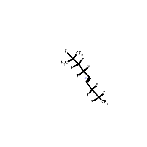 FC(F)(F)C(F)(F)C(F)(F)/C=C/C(F)(F)C(F)(F)C(F)(C(F)(F)F)C(F)(F)F